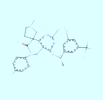 Cc1nc(N[C@H](C)c2cc(N)cc(C(F)(F)F)c2)c2c(n1)C1(CCN(C)C1)C(=O)N(c1ccc(F)cc1)C2